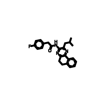 CC(C)Cc1nc2c(nc1NC(=O)Cc1ccc(F)cc1)CCc1ccccc1-2